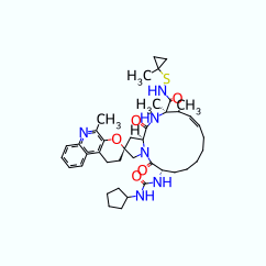 Cc1nc2ccccc2c2c1O[C@]1(CC2)C[C@H]2C(=O)N[C@@](C)(C(=O)NSC3(C)CC3)[C@@H](C)/C=C\CCCCC[C@H](NC(=O)NC3CCCC3)C(=O)N2C1